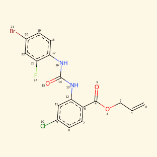 C=CCOC(=O)c1ccc(Cl)cc1NC(=O)Nc1ccc(Br)cc1F